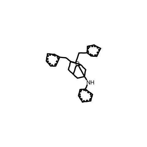 c1ccc(CC2C3CC4CC(Nc5ccccc5)(C3)OC2(Cc2ccccc2)C4)cc1